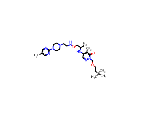 CC(CONCCN1CCN(c2ncc(C(F)(F)F)cn2)CC1)Nc1cnn(COCC[Si](C)(C)C)c(=O)c1C(F)(F)F